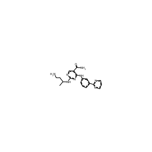 CC(CCN)Nc1ncc(C(N)=O)c(Nc2cccc(-c3ncccn3)c2)n1